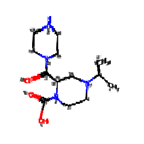 CC(C)N1CCN(C(=O)O)[C@@H](C(=O)N2CCNCC2)C1